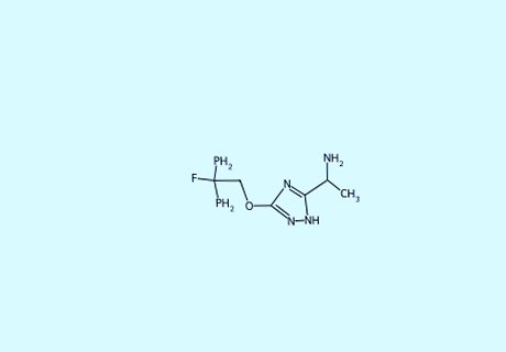 CC(N)c1nc(OCC(F)(P)P)n[nH]1